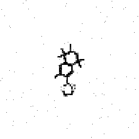 Cc1cc2c(cc1C1OCCO1)C(C)(C)CC(C)C2(C)C